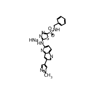 Cn1cc(-c2cnc3ccc(Nc4nnc(S(=O)(=O)NCc5ccccc5)s4)nc3c2)cn1.[NaH]